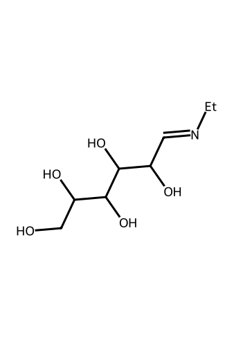 CCN=CC(O)C(O)C(O)C(O)CO